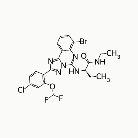 CCNC(=O)[C@@H](CC)Nc1nc2c(Br)cccc2c2nc(-c3ccc(Cl)cc3OC(F)F)nn12